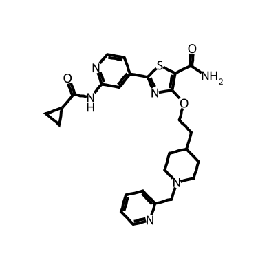 NC(=O)c1sc(-c2ccnc(NC(=O)C3CC3)c2)nc1OCCC1CCN(Cc2ccccn2)CC1